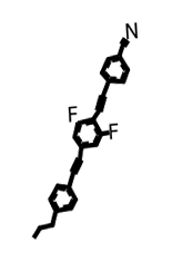 CCCc1ccc(C#Cc2cc(F)c(C#Cc3ccc(C#N)cc3)c(F)c2)cc1